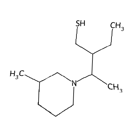 CCC(CS)C(C)N1CCCC(C)C1